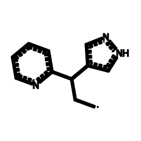 [CH2]CC(c1cn[nH]c1)c1ccccn1